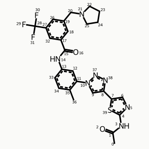 CC(=O)Nc1ncc(-c2cn(-c3cc(NC(=O)c4cc(CN5CCCC5)cc(C(F)(F)F)c4)ccc3C)nn2)s1